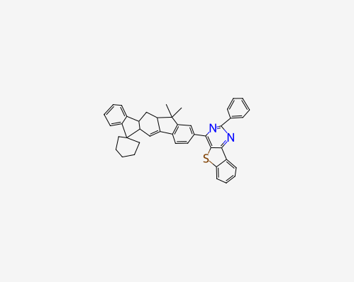 CC1(C)c2cc(-c3nc(-c4ccccc4)nc4c3sc3ccccc34)ccc2C2=CC3C(CC21)c1ccccc1C31CCCCC1